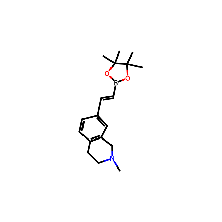 CN1CCc2ccc(C=CB3OC(C)(C)C(C)(C)O3)cc2C1